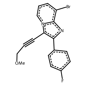 COCC#Cc1c(-c2ccc(F)cc2)nc2c(Br)cccn12